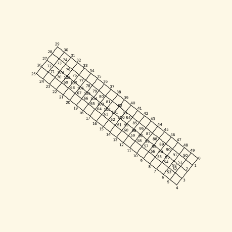 C1C2C3C4CC5C6C7C8C9C%10C%11C%12C%13C%14C%15C%16C%17C%18C%19C%20C%21C%22C%23C%24CC%25C%26C%27CC%28C%29C%30C%31C%32C%33C%34C%35C%36C%37C%38C%39C%40C%41C%42C%43C%44C%45C%46C1C21C32C45C63C74C85C96C%107C%118C%129C%13%10C%14%11C%15%12C%16%13C%17%14C%18%15C%19%16C%20%17C%21%18C%22%19C%23%20C%25%24C%26%21C%27%28C%29%22C%30%23C%31%24C%32%25C%33%26C%34%27C%35%28C%36%29C%37%30C%38%31C%39%32C%40%33C%41%34C%42%35C%43%36C%44%37C%45%38C%461C23C%384C%375C%366C%357C%348C%339C%32%10C%31%11C%30%12C%29%13C%28%14C%27%15C%26%16C%25%17C%24%18C%23%19C%21%22%20